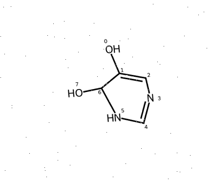 OC1=CN=CNC1O